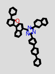 c1ccc(-c2ccc(-c3ccc(-c4nc(-c5ccc6ccccc6c5)nc(-c5cc6oc7c(-c8ccccc8)cccc7c6c6ccccc56)n4)cc3)cc2)cc1